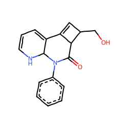 O=C1C2C(=CC2CO)C2=CC=CNC2N1c1ccccc1